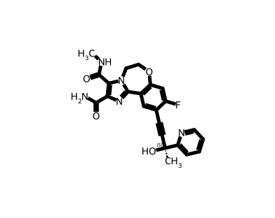 CNC(=O)c1c(C(N)=O)nc2n1CCOc1cc(F)c(C#C[C@](C)(O)c3ccccn3)cc1-2